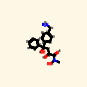 CN(O)C(=O)C(=O)CC(O)(c1ccccc1)c1ccc(CN)cc1